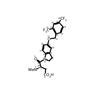 CN[C@H](CC(=O)O)C(=O)N1CCc2cc(OCc3ccc(C(F)(F)F)cc3C(F)(F)F)ccc21